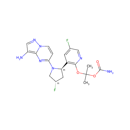 CC(C)(OC(N)=O)Oc1ncc(F)cc1[C@H]1C[C@H](F)CN1c1ccn2ncc(N)c2n1